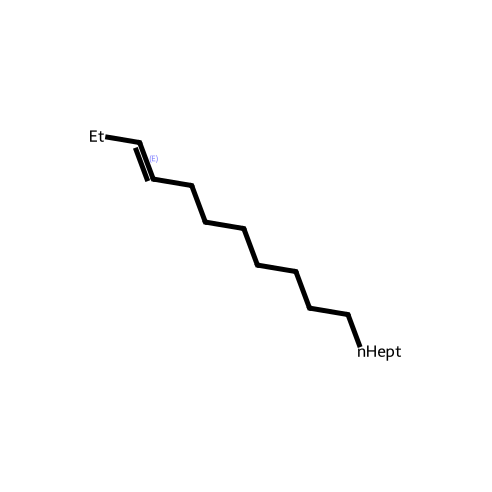 [CH2]C/C=C/CCCCCCCCCCCCC[CH2]